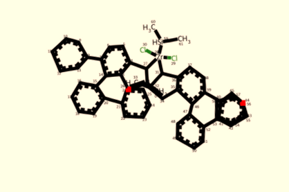 CC1=Cc2c(ccc(-c3ccccc3)c2-c2ccccc2-c2ccccc2)[CH]1[Zr]([Cl])([Cl])([CH]1C(C)=Cc2c1ccc(-c1ccccc1)c2-c1ccccc1-c1ccccc1)[SiH](C)C